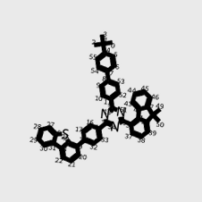 CC(C)(C)c1ccc(-c2ccc(-c3nc(-c4ccc(-c5cccc6c5sc5ccccc56)cc4)nc(-c4cccc5c4-c4ccccc4C5(C)C)n3)cc2)cc1